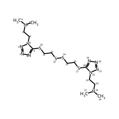 CN(C)CCn1nnnc1SCCSSCCSc1nnnn1CCN(C)C